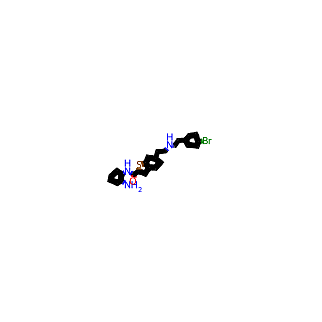 Nc1ccccc1NC(=O)c1cc2ccc(CCNCCc3ccc(Br)cc3)cc2s1